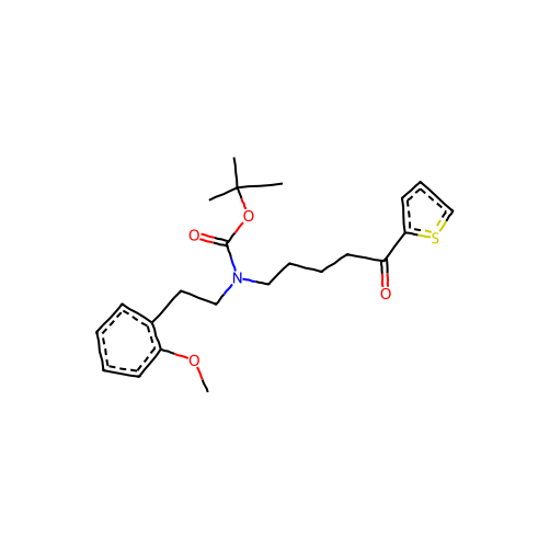 COc1ccccc1CCN(CCCCC(=O)c1cccs1)C(=O)OC(C)(C)C